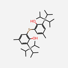 Cc1cc(Sc2cc(C)cc([Si](C(C)C)(C(C)C)C(C)C)c2O)c(O)c([Si](C(C)C)(C(C)C)C(C)C)c1